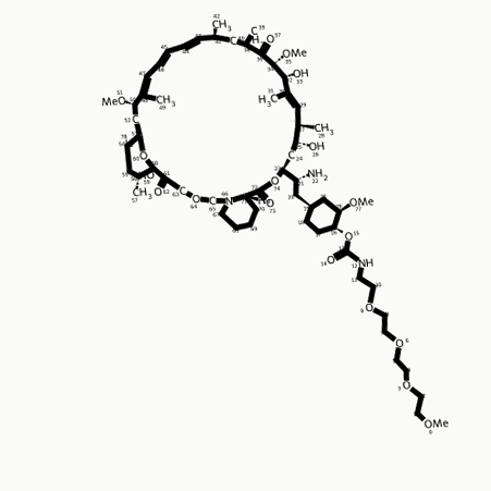 COCCOCCOCCOCCNC(=O)O[C@@H]1CC[C@@H](C[C@@H](N)[C@@H]2C[C@@H](O)[C@H](C)/C=C(\C)[C@@H](O)[C@@H](OC)C(=O)C(C)C[C@H](C)/C=C/C=C/C=C(\C)[C@@H](OC)C[C@@H]3CC[C@@H](C)[C@@](O)(O3)C(=O)COCN3CCCC[C@H]3C(=O)O2)C[C@H]1OC